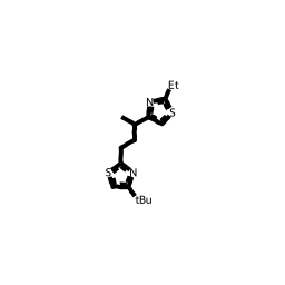 CCc1nc(C(C)CCc2nc(C(C)(C)C)cs2)cs1